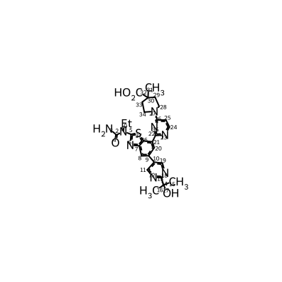 CCN(C(N)=O)c1nc2cc(-c3cnc(C(C)(C)O)nc3)cc(-c3nccc(N4CCC(C)(C(=O)O)CC4)n3)c2s1